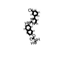 O=C(NO)Oc1ccc2c(c1)CC(Nc1nccc(-c3cccc(Cl)c3)n1)CC2